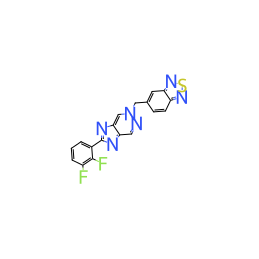 Fc1cccc(-c2nc3cnn(Cc4ccc5nsnc5c4)cc-3n2)c1F